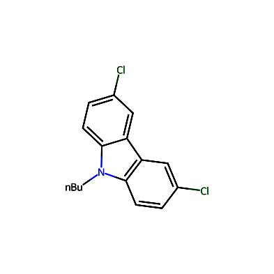 CCCCn1c2ccc(Cl)cc2c2cc(Cl)ccc21